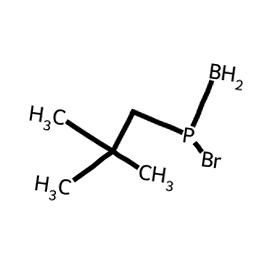 BP(Br)CC(C)(C)C